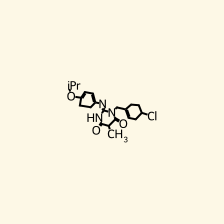 CC(C)OC1=CC=C(/N=C2\NC(=O)C(C)C(=O)N2CC2=CCC(Cl)CC2)CC1